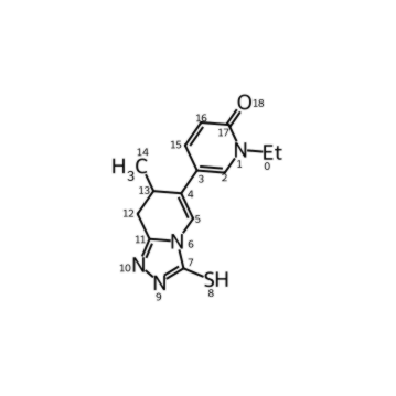 CCn1cc(C2=Cn3c(S)nnc3CC2C)ccc1=O